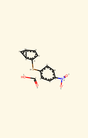 O=CO.O=[N+]([O-])c1ccc(Sc2ccc3cc2-3)cc1